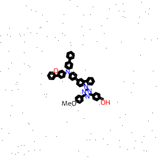 COc1ccc(-c2nc(-c3ccc(CO)cc3)nc(-n3c4ccccc4c4cc(-c5ccc(N(c6ccc(-c7ccccc7)cc6)c6ccc7c(c6)oc6ccccc67)cc5)ccc43)n2)cc1